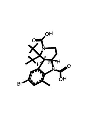 Cc1cc(Br)cc2c1N(C(=O)O)[C@H]1CCN(C(=O)O)C(C(C)(C)C)(C(C)(C)C)[C@H]21